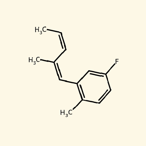 C/C=C\C(C)=C/c1cc(F)ccc1C